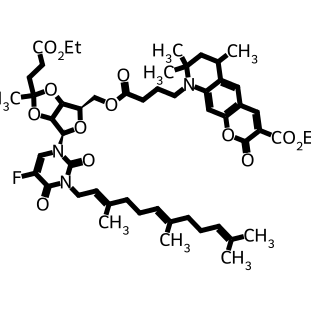 CCOC(=O)CCC1(C)OC2C(O1)[C@@H](COC(=O)CCCN1c3cc4oc(=O)c(C(=O)OCC)cc4cc3C(C)CC1(C)C)O[C@H]2n1cc(F)c(=O)n(C/C=C(\C)CC/C=C(\C)CCC=C(C)C)c1=O